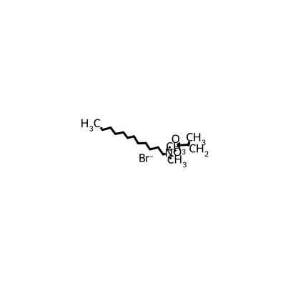 C=C(C)C(=O)O[N+](C)(C)CCCCCCCCCCCC.[Br-]